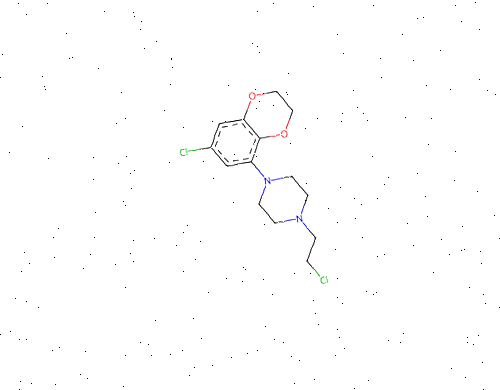 ClCCN1CCN(c2cc(Cl)cc3c2OCCO3)CC1